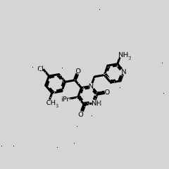 Cc1cc(Cl)cc(C(=O)c2c(C(C)C)c(=O)[nH]c(=O)n2Cc2ccnc(N)c2)c1